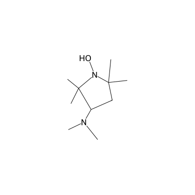 CN(C)C1CC(C)(C)N(O)C1(C)C